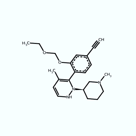 C#Cc1ccc(C2=C(C)C=CNN2[C@@H]2CCCN(C)C2)c(OCOCC)c1